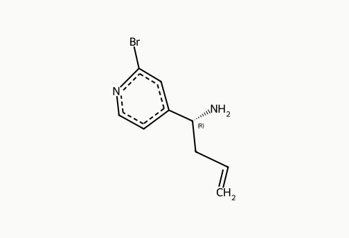 C=CC[C@@H](N)c1ccnc(Br)c1